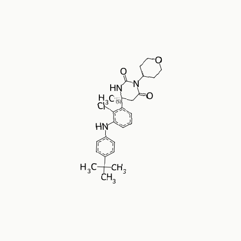 CC(C)(C)c1ccc(Nc2cccc([C@]3(C)CC(=O)N(C4CCOCC4)C(=O)N3)c2Cl)cc1